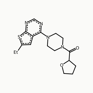 CCc1cc2c(N3CCN(C(=O)C4CCCO4)CC3)ncnc2s1